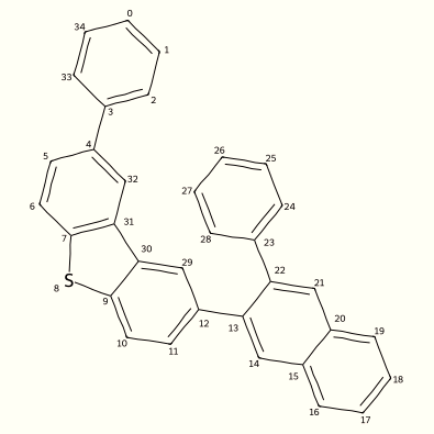 c1ccc(-c2ccc3sc4ccc(-c5cc6ccccc6cc5-c5ccccc5)cc4c3c2)cc1